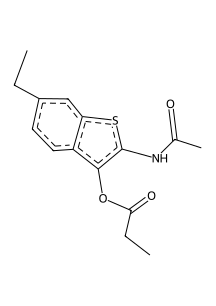 CCC(=O)Oc1c(NC(C)=O)sc2cc(CC)ccc12